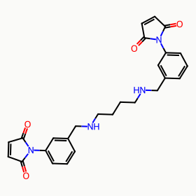 O=C1C=CC(=O)N1c1cccc(CNCCCCNCc2cccc(N3C(=O)C=CC3=O)c2)c1